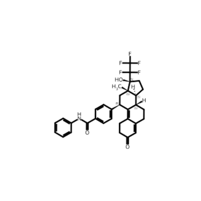 C[C@]12C[C@H](c3ccc(C(=O)Nc4ccccc4)cc3)C3=C4CCC(=O)C=C4CC[C@H]3[C@@H]1CC[C@@]2(O)C(F)(F)C(F)(F)F